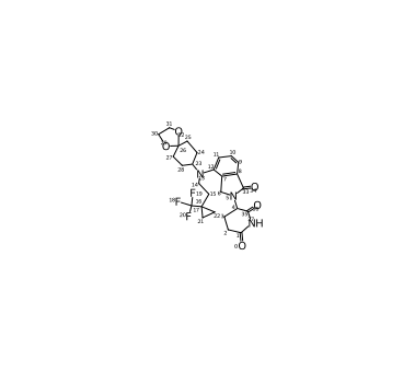 O=C1CCC(N2Cc3c(cccc3N(CCC3(C(F)(F)F)CC3)C3CCC4(CC3)OCCO4)C2=O)C(=O)N1